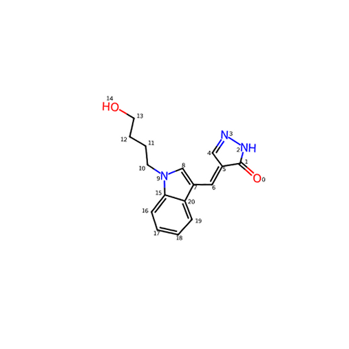 O=C1NN=C/C1=C\c1cn(CCCCO)c2ccccc12